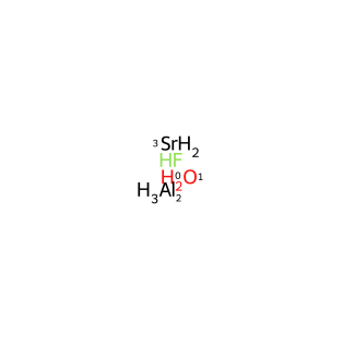 F.O.[AlH3].[SrH2]